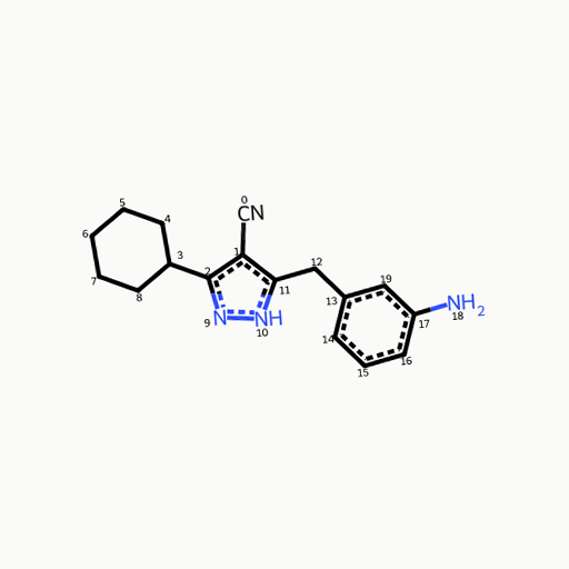 N#Cc1c(C2CCCCC2)n[nH]c1Cc1cccc(N)c1